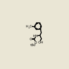 Cc1cccc(CC(CO)NC(=O)OC(C)(C)C)c1